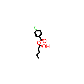 CCCCC(O)OC(=O)c1ccc(Cl)cc1